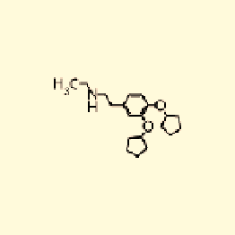 CCNCCc1ccc(OC2CCCC2)c(OC2CCCC2)c1